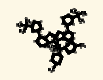 Cc1ccc([C](c2ccc(C)cc2)=[Hf]([CH3])([CH3])([CH]2C=Cc3c(-c4cccc(C(C)(C)C)c4)cccc32)[CH]2C=Cc3c(-c4cccc(C(C)(C)C)c4)cccc32)cc1